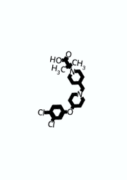 CC(C)(C(=O)O)N1CCC(CN2CCC(Oc3ccc(Cl)c(Cl)c3)CC2)CC1